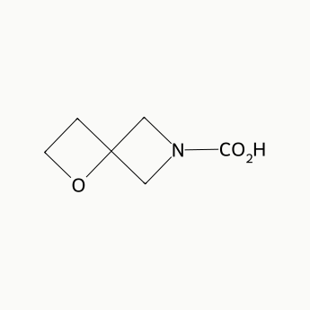 O=C(O)N1CC2(CCO2)C1